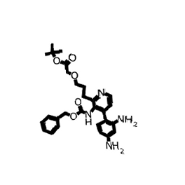 CC(C)(C)OC(=O)COCCCc1nccc(-c2ccc(N)cc2N)c1NC(=O)OCc1ccccc1